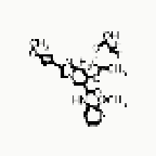 COc1ncccc1NC(=O)c1cn2cc(C34CC(OC)(C3)C4)nc2cc1OC(C)C.O=C(O)C(F)(F)F